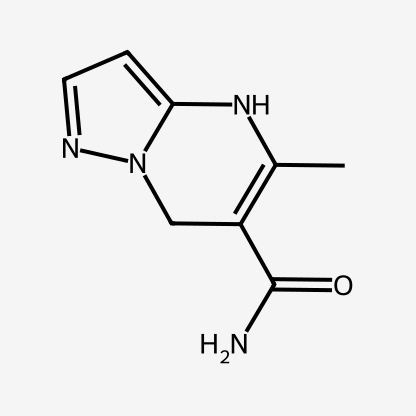 CC1=C(C(N)=O)Cn2nccc2N1